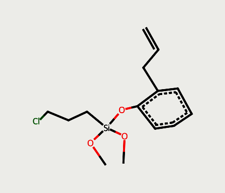 C=CCc1ccccc1O[Si](CCCCl)(OC)OC